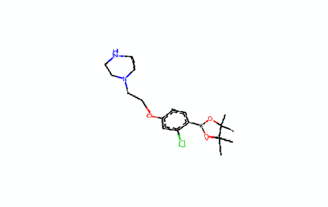 CC1(C)OB(c2ccc(OCCN3CCNCC3)cc2Cl)OC1(C)C